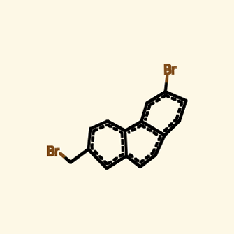 BrCc1ccc2c(ccc3ccc(Br)cc32)c1